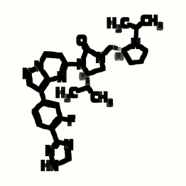 CC(C)[C@H]1CN(C[C@H]2CCCN2C(C)C)C(=O)N1c1ccn2ncc(-c3ccc(-c4nc[nH]n4)c(F)c3)c2n1